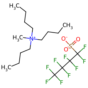 CCCC[N+](C)(CCCC)CCCC.O=S(=O)([O-])C(F)(F)C(F)(F)C(F)(F)C(F)(F)F